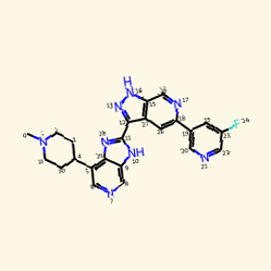 CN1CCC(c2cncc3[nH]c(-c4n[nH]c5cnc(-c6cncc(F)c6)cc45)nc23)CC1